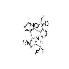 CCS(=O)(=O)c1ccccc1-c1ncccc1-c1nc(C(F)(F)F)c[nH]1